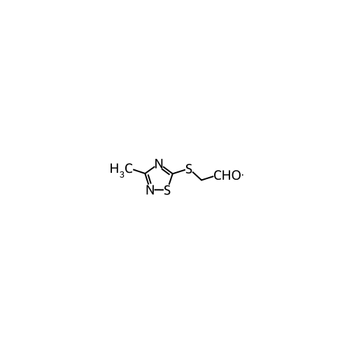 Cc1nsc(SC[C]=O)n1